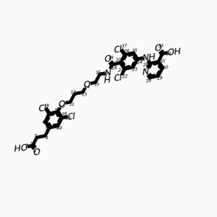 O=C(O)CCc1cc(Cl)c(OCCCOCCNC(=O)c2c(Cl)cc(Nc3ncccc3C(=O)O)cc2Cl)c(Cl)c1